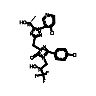 C[C@@H](O)c1nc(Cn2nc(-c3ccc(Cl)cc3)n(C[C@H](O)C(F)(F)F)c2=O)nn1-c1cnccc1Cl